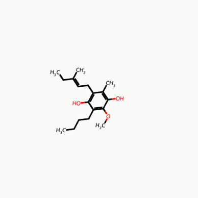 CCCCc1c(O)c(C/C=C(\C)CC)c(C)c(O)c1OC